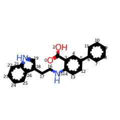 O=C(O)c1cc(-c2ccccc2)ccc1NCCc1c[nH]c2ccccc12